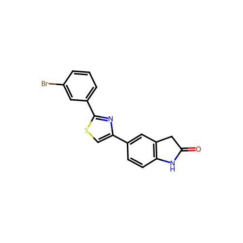 O=C1Cc2cc(-c3csc(-c4cccc(Br)c4)n3)ccc2N1